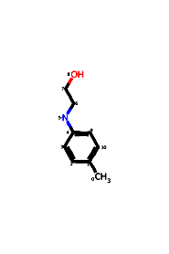 Cc1ccc([N]CCO)cc1